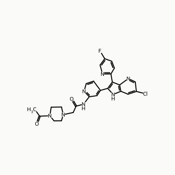 CC(=O)N1CCN(CC(=O)Nc2cc(-c3[nH]c4cc(Cl)cnc4c3-c3ccc(F)cn3)ccn2)CC1